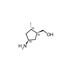 C[C@H]1C[C@H](N)C[C@@H]1CO